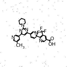 Cc1cncc(-c2cc(-c3ccc(-c4ncc(C(=O)O)cc4C(F)(F)F)nc3)nc(N3CCCCC3)n2)c1